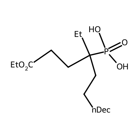 CCCCCCCCCCCCC(CC)(CCC(=O)OCC)P(=O)(O)O